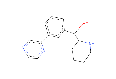 OC(c1cccc(-c2cnccn2)c1)C1CCCCN1